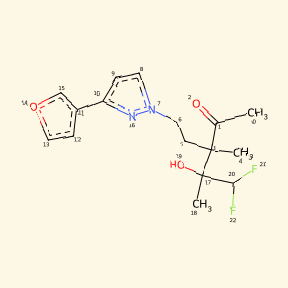 CC(=O)C(C)(CCn1ccc(-c2ccoc2)n1)C(C)(O)C(F)F